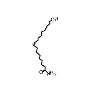 NC(=O)CCCCCCC/C=C\CCCCCCCCO